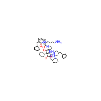 CN[C@@H](Cc1ccccc1)C(=O)N[C@@H](CCCCN)C(=O)N1CCC[C@H]1C(=O)C(C(=O)[C@H](N)CC1CCCCC1)(C1CCCCC1)[C@H](N)C(=O)N1CCC(Cc2ccccc2)CC1